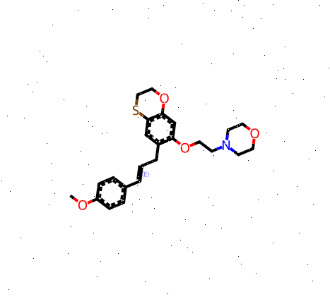 COc1ccc(/C=C/Cc2cc3c(cc2OCCN2CCOCC2)OCCS3)cc1